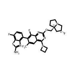 Nc1nc2c(-c3c(C(F)(F)F)cc4c(N5CCC5)nc(OC[C@@]56CCCN5C[C@H](F)C6)nc4c3F)ccc(F)c2s1